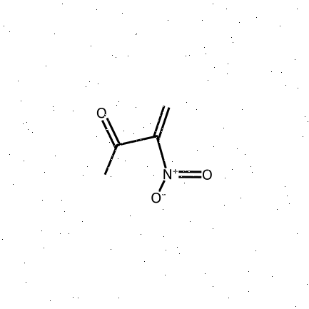 C=C(C(C)=O)[N+](=O)[O-]